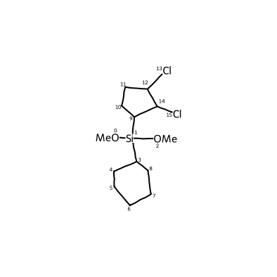 CO[Si](OC)(C1CCCCC1)C1CCC(Cl)C1Cl